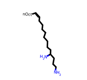 CCCCCCCC/C=C\CCCCCCCCC(N)CCCN